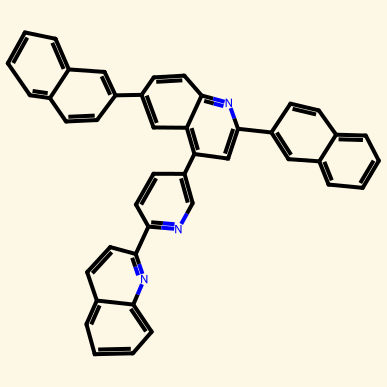 c1ccc2cc(-c3ccc4nc(-c5ccc6ccccc6c5)cc(-c5ccc(-c6ccc7ccccc7n6)nc5)c4c3)ccc2c1